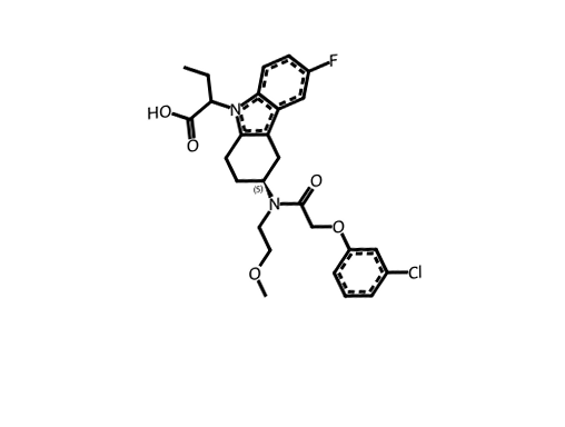 CCC(C(=O)O)n1c2c(c3cc(F)ccc31)C[C@@H](N(CCOC)C(=O)COc1cccc(Cl)c1)CC2